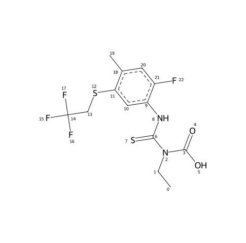 CCN(C(=O)O)C(=S)Nc1cc(SCC(F)(F)F)c(C)cc1F